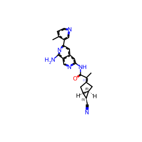 C/C(C(=O)Nc1cc2cc(-c3cnccc3C)nc(N)c2cn1)=C1/C[C@@H]2[C@H](C#N)[C@@H]2C1